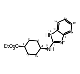 CCOC(=O)[C@H]1CC[C@@H](Nc2nc3ccccc3[nH]2)CC1